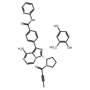 CC#CC(=O)N1CCC[C@H]1c1nc(-c2ccc(C(=O)Nc3ccccn3)cc2)c2c(N)nccn12.O=C(O)c1cc(O)ccc1O